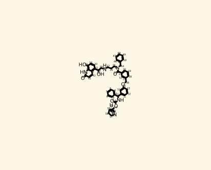 O=C(NC(c1ccccc1)c1cccc(OCc2cccc(C(=O)N(CCCNC[C@@H](O)c3ccc(O)c4[nH]c(=O)ccc34)Cc3ccccc3)c2)c1)O[C@H]1CN2CCC1CC2